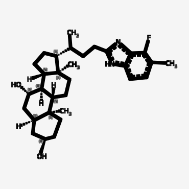 Cc1ccc2[nH]c(CCC(C)[C@H]3CC[C@H]4[C@@H]5[C@@H](O)C[C@@H]6C[C@H](O)CC[C@]6(C)[C@H]5CC[C@]34C)nc2c1F